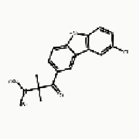 CCCCN(CCCC)C(C)(C)C(=O)c1ccc2[nH]c3ccc(Cl)cc3c2c1